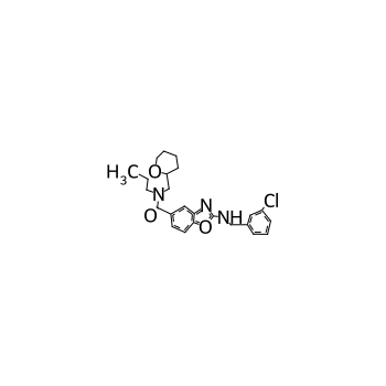 CCCN(CC1CCCCO1)C(=O)c1ccc2oc(NCc3cccc(Cl)c3)nc2c1